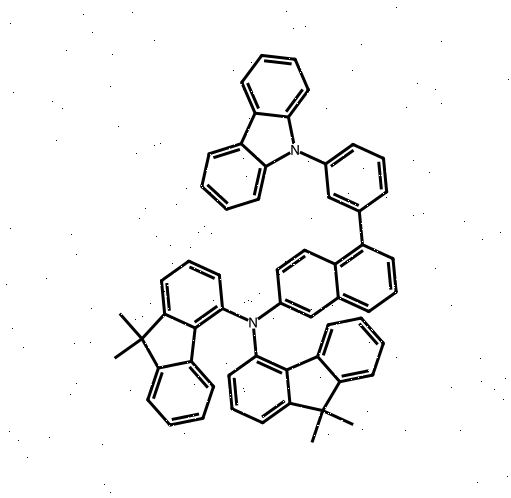 CC1(C)c2ccccc2-c2c(N(c3ccc4c(-c5cccc(-n6c7ccccc7c7ccccc76)c5)cccc4c3)c3cccc4c3-c3ccccc3C4(C)C)cccc21